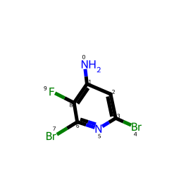 Nc1cc(Br)nc(Br)c1F